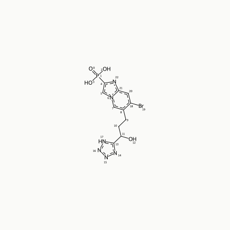 O=P(O)(O)c1cn2cc(CCC(O)c3nnn[nH]3)c(Br)cc2n1